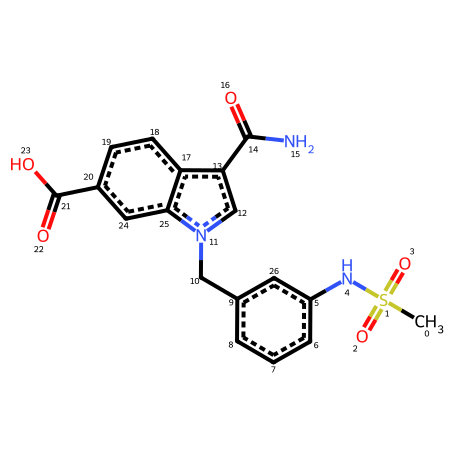 CS(=O)(=O)Nc1cccc(Cn2cc(C(N)=O)c3ccc(C(=O)O)cc32)c1